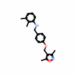 Cc1cccc(NCc2ccc(OCc3c(C)noc3C)cc2)c1C